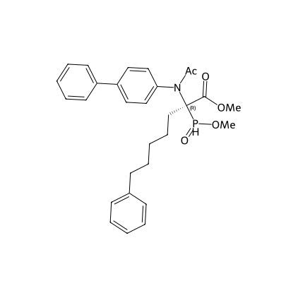 COC(=O)[C@](CCCCCc1ccccc1)(N(C(C)=O)c1ccc(-c2ccccc2)cc1)[PH](=O)OC